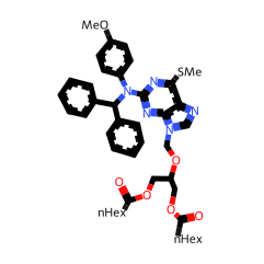 CCCCCCC(=O)OCC(COC(=O)CCCCCC)OCn1cnc2c(SC)nc(N(c3ccc(OC)cc3)C(c3ccccc3)c3ccccc3)nc21